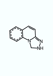 C1=Cc2ccccc2N2CNN=C12